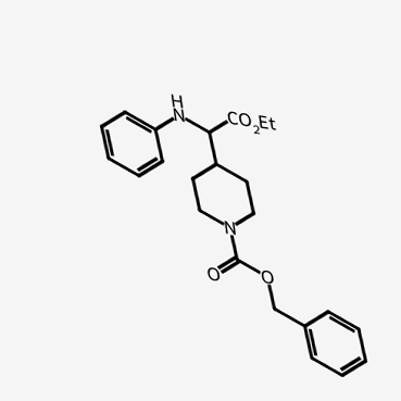 CCOC(=O)C(Nc1ccccc1)C1CCN(C(=O)OCc2ccccc2)CC1